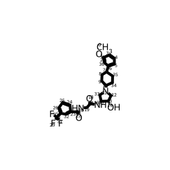 COc1cccc(C2CCC(N3C[C@@H](O)[C@@H](NC(=O)CNC(=O)c4cccc(C(F)(F)F)c4)C3)CC2)c1